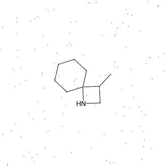 CC1CNC12CCCCC2